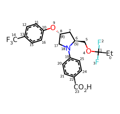 CCC(F)(F)OC[C@@H]1C[C@@H](Oc2ccc(C(F)(F)F)cc2)CN1c1ccc(C(=O)O)cc1